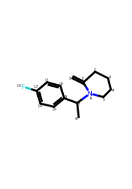 C=C1CCCCN1C(C)c1ccc(F)cc1